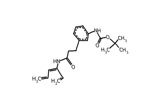 C=C/C=C(\C=C)NC(=O)CCc1cccc(NC(=O)OC(C)(C)C)c1